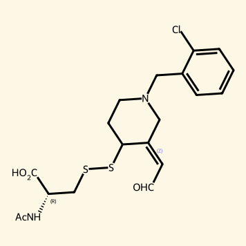 CC(=O)N[C@@H](CSSC1CCN(Cc2ccccc2Cl)C/C1=C/C=O)C(=O)O